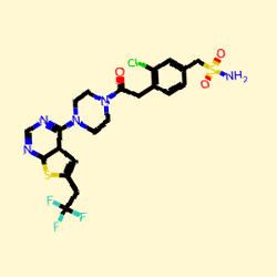 NS(=O)(=O)Cc1ccc(CC(=O)N2CCN(C3=NC=NC4SC(CC(F)(F)F)=CC34)CC2)c(Cl)c1